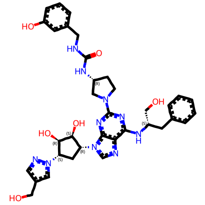 O=C(NCc1cccc(O)c1)N[C@@H]1CCN(c2nc(N[C@H](CO)Cc3ccccc3)c3ncn([C@@H]4C[C@H](n5cc(CO)cn5)[C@@H](O)[C@H]4O)c3n2)C1